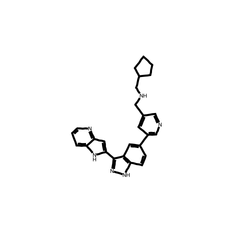 c1cnc2cc(-c3n[nH]c4ccc(-c5cncc(CNCC6CCCC6)c5)cc34)[nH]c2c1